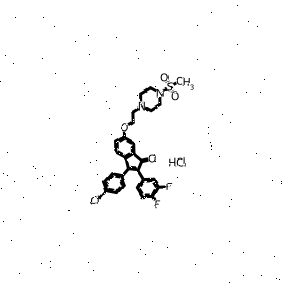 CS(=O)(=O)N1CCN(CCOc2ccc3c(c2)C(=O)C(c2ccc(F)c(F)c2)=C3c2ccc(Cl)cc2)CC1.Cl